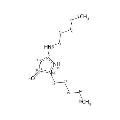 CCCCCNc1cc(=O)n(CCCCC)[nH]1